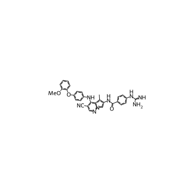 COc1ccccc1Oc1ccc(Nc2c(C#N)cnn3cc(NC(=O)c4ccc(NC(=N)N)cc4)c(C)c23)cc1